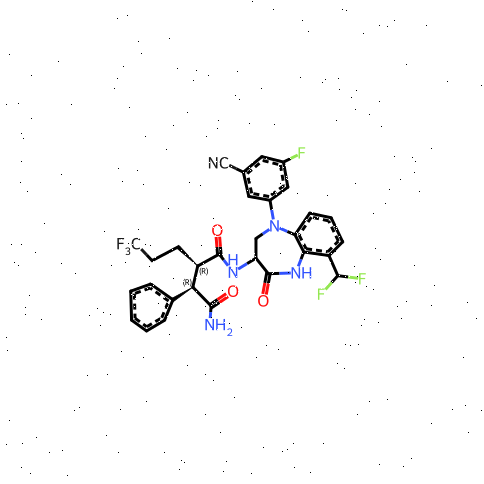 N#Cc1cc(F)cc(N2CC(NC(=O)[C@H](CCC(F)(F)F)[C@@H](C(N)=O)c3ccccc3)C(=O)Nc3c(C(F)F)cccc32)c1